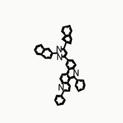 c1ccc(-c2ccc3c(ccc4c5cc(-c6cc(-c7ccc8ccccc8c7)nc(-c7ccc8ccccc8c7)n6)ccc5nc(-c5ccccc5)c34)n2)cc1